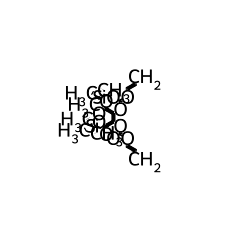 C=CCOC(=O)OC(C(=O)O[Si](C)(C)C)C(OC(=O)OCC=C)C(=O)O[Si](C)(C)C